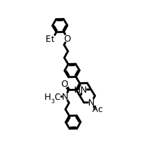 CCc1ccccc1OCCCc1ccc(C2=C(C(=O)N(C)CCc3ccccc3)C3CN(C(C)=O)CC(C2)N3)cc1